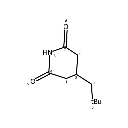 CC(C)(C)CC1CC(=O)NC(=O)C1